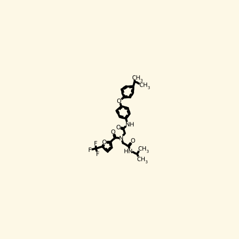 CC(C)NC(=O)CN(CC(=O)Nc1ccc(Oc2ccc(C(C)C)cc2)cc1)C(=O)c1ccc(C(F)(F)F)o1